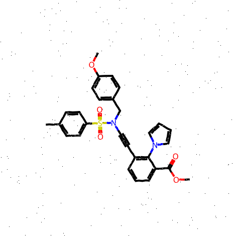 COC(=O)c1cccc(C#CN(Cc2ccc(OC)cc2)S(=O)(=O)c2ccc(C)cc2)c1-n1cccc1